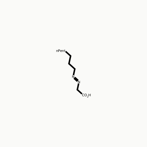 CCCCCCCCN=NCC(=O)O